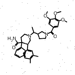 COc1cc(C(=O)N2CCC(C(C)N3CCC(C(N)=O)(c4ccccc4)C(c4ccc(C)c(C)c4)C3)C2)cc(OC)c1OC